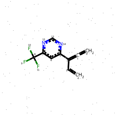 C=C=C(C=C)c1cc(C(F)(F)F)ncn1